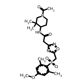 COc1cc(C)c(S(=O)(=O)Cc2nc(CC(=O)NC3CCN(C(C)=O)CC3(C)C)no2)c(C)c1